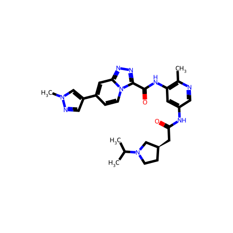 Cc1ncc(NC(=O)C[C@H]2CCN(C(C)C)C2)cc1NC(=O)c1nnc2cc(-c3cnn(C)c3)ccn12